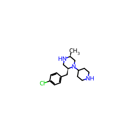 C[C@H]1CN(C2CCNCC2)[C@@H](Cc2ccc(Cl)cc2)CN1